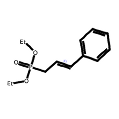 CCOP(=O)(C/C=C/c1ccccc1)OCC